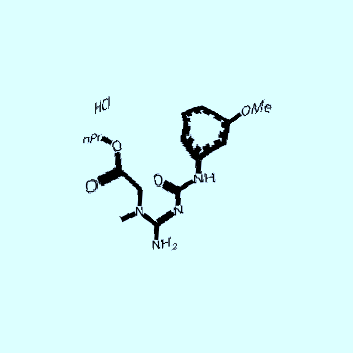 CCCOC(=O)CN(C)/C(N)=N\C(=O)Nc1cccc(OC)c1.Cl